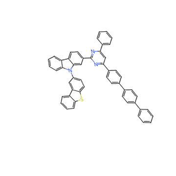 c1ccc(-c2ccc(-c3ccc(-c4cc(-c5ccccc5)nc(-c5ccc6c7ccccc7n(-c7ccc8sc9ccccc9c8c7)c6c5)n4)cc3)cc2)cc1